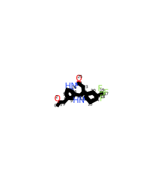 CC(=O)Cc1ccc2c(c1)-c1[nH]c3ccc(C(F)(F)F)cc3c1CC(=O)N2